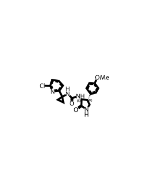 COc1ccc([C@@H]2CNC(=O)[C@H]2NC(=O)NC2(c3cccc(Cl)n3)CC2)cc1